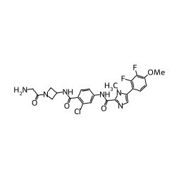 COc1ccc(-c2cnc(C(=O)Nc3ccc(C(=O)NC4CN(C(=O)CN)C4)c(Cl)c3)n2C)c(F)c1F